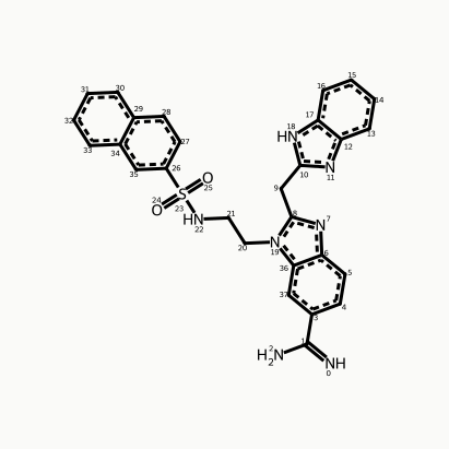 N=C(N)c1ccc2nc(Cc3nc4ccccc4[nH]3)n(CCNS(=O)(=O)c3ccc4ccccc4c3)c2c1